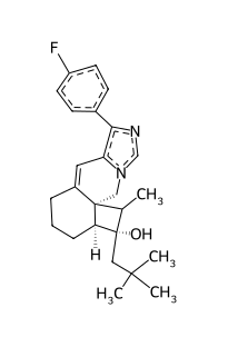 CC1[C@]23Cn4cnc(-c5ccc(F)cc5)c4C=C2CCC[C@@H]3[C@]1(O)CC(C)(C)C